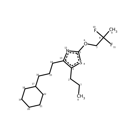 CCCc1sc(OCC(C)(F)F)nc1CCCC1CCCCC1